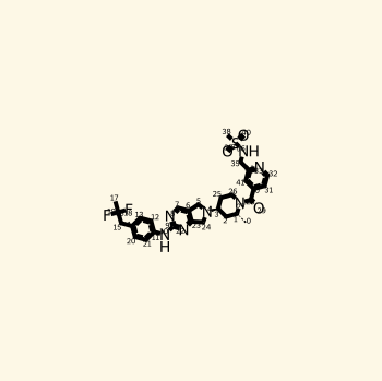 C[C@@H]1C[C@@H](N2Cc3cnc(Nc4ccc(CC(C)(F)F)cc4)nc3C2)CCN1C(=O)c1ccnc(CNS(C)(=O)=O)c1